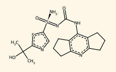 CC(C)(O)c1ncc([S@](N)(=O)=NC(=O)Nc2c3c(nc4c2CCC4)CCC3)s1